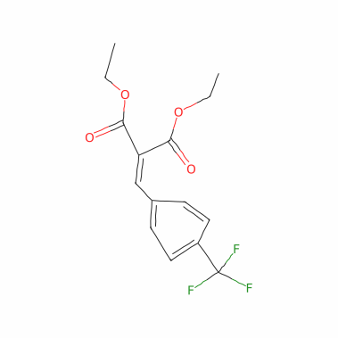 CCOC(=O)C(=Cc1ccc(C(F)(F)F)cc1)C(=O)OCC